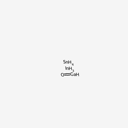 [InH3].[O]=[GaH].[SnH4]